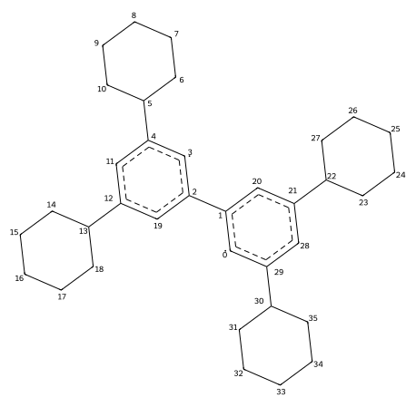 [c]1c(-c2[c]c(C3CCCCC3)cc(C3CCCCC3)c2)cc(C2CCCCC2)cc1C1CCCCC1